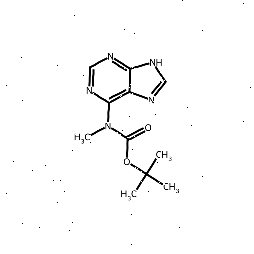 CN(C(=O)OC(C)(C)C)c1ncnc2[nH]cnc12